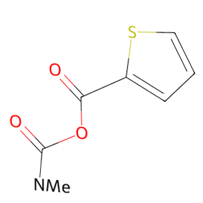 CNC(=O)OC(=O)c1cccs1